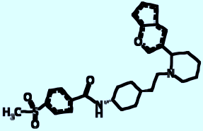 CS(=O)(=O)c1ccc(C(=O)N[C@H]2CC[C@H](CCN3CCCCC3c3coc4cccc-4c3)CC2)cc1